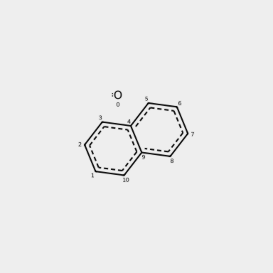 [O].c1ccc2ccccc2c1